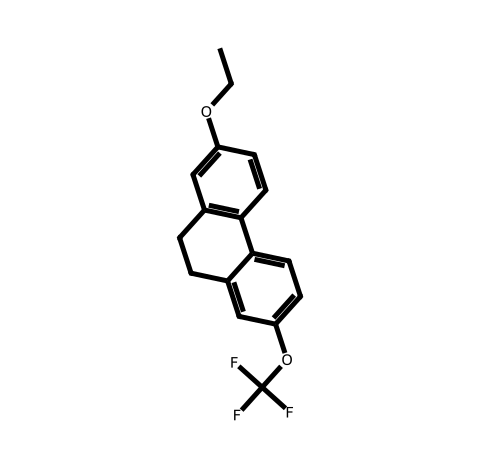 CCOc1ccc2c(c1)CCc1cc(OC(F)(F)F)ccc1-2